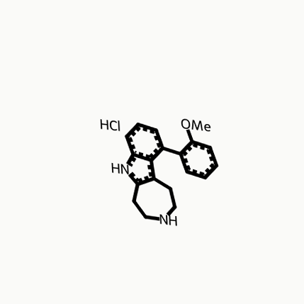 COc1ccccc1-c1cccc2[nH]c3c(c12)CCNCC3.Cl